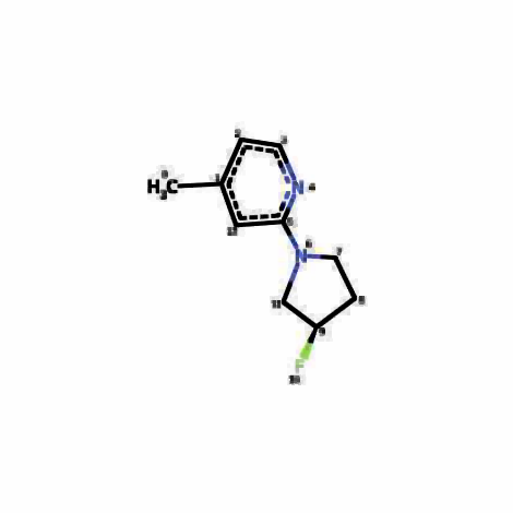 Cc1ccnc(N2CC[C@@H](F)C2)c1